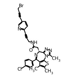 Cc1sc2c(c1C)C(c1ccc(Cl)cc1)=N[C@@H](CC(=O)NCC#Cc1ccc(C#CCBr)cn1)c1nnc(C)n1-2